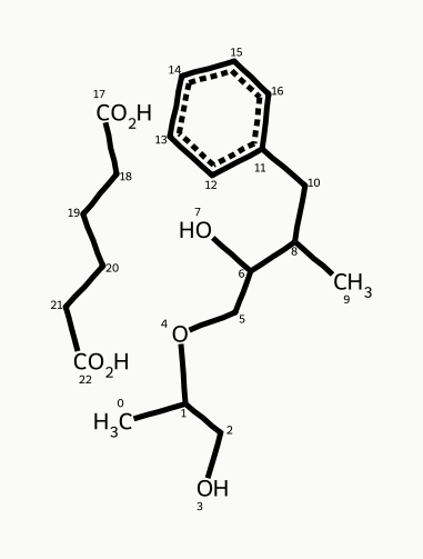 CC(CO)OCC(O)C(C)Cc1ccccc1.O=C(O)CCCCC(=O)O